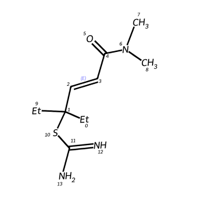 CCC(/C=C/C(=O)N(C)C)(CC)SC(=N)N